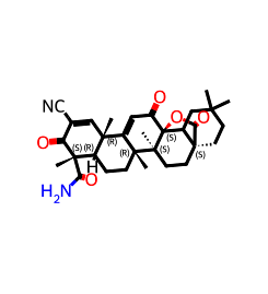 CC1(C)CC[C@@]23CC[C@@]4(C)[C@]5(C)CC[C@H]6[C@](C)(C(N)=O)C(=O)C(C#N)=C[C@]6(C)C5=CC(=O)[C@]4(OC2=O)C3C1